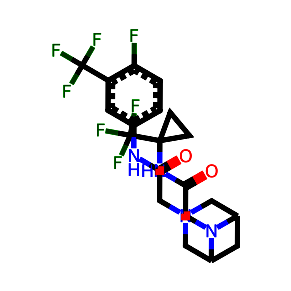 O=C(CN1CC2CC(C1)N2CC(=O)NC1(C(F)(F)F)CC1)Nc1ccc(F)c(C(F)(F)F)c1